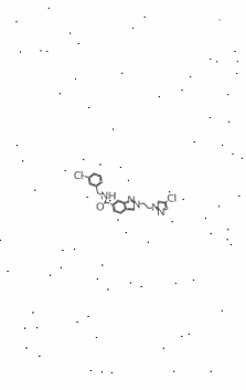 O=C(NCc1cccc(Cl)c1)c1ccc2cn(CCn3cc(Cl)cn3)nc2c1